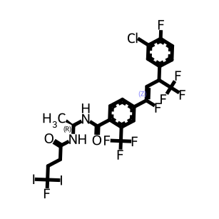 C[C@H](NC(=O)CCC(F)(I)I)NC(=O)c1ccc(/C(F)=C/C(c2ccc(F)c(Cl)c2)C(F)(F)F)cc1C(F)(F)F